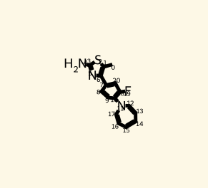 Cc1sc(N)nc1-c1ccc(N2C=CC=CC=C2)c(F)c1